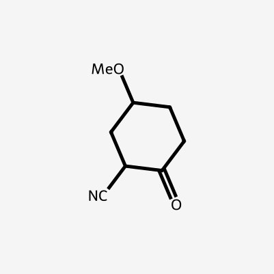 COC1CCC(=O)C(C#N)C1